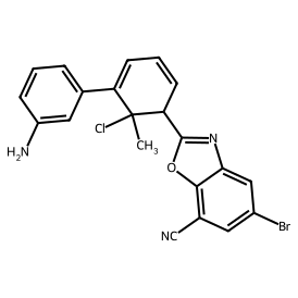 CC1(Cl)C(c2cccc(N)c2)=CC=CC1c1nc2cc(Br)cc(C#N)c2o1